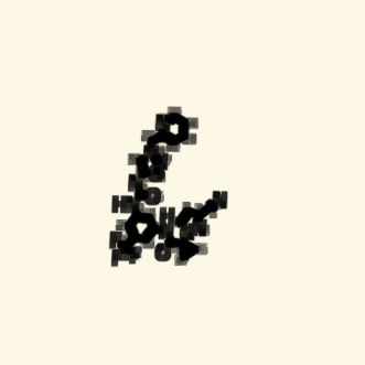 N#Cc1ccn(C2(C(=O)Nc3cc(NC(=O)[N-]c4c[n+](Cc5ccccn5)no4)cc(C(F)(F)F)c3)CC2)n1